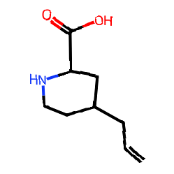 C=CCC1CCNC(C(=O)O)C1